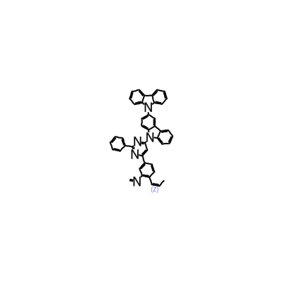 C=Nc1cc(-c2cc(-n3c4ccccc4c4cc(-n5c6ccccc6c6ccccc65)ccc43)nc(-c3ccccc3)n2)ccc1/C=C\C